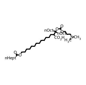 CCCCCCCCC(CCCCCCCC)(OC(=O)OCCCN(C)C)C(CCCCCCCCCCCCCOC(=O)CCCCCCC)C(=O)O